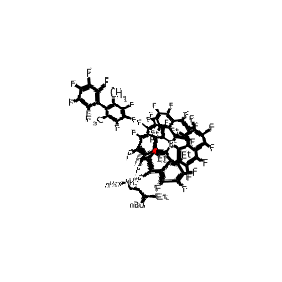 CCCCCC[NH2+]CCC(CC)CCCC.CCc1c(F)c(F)c(F)c2c(F)c(F)c(F)c([B-](c3c(F)c(F)c(F)c4c(F)c(F)c(F)c(CC)c34)(c3c(F)c(F)c(F)c4c(F)c(F)c(F)c(CC)c34)c3c(F)c(F)c(F)c4c(F)c(F)c(F)c(CC)c34)c12.Cc1c(F)c(F)c(F)c(C(F)(F)F)c1-c1c(F)c(F)c(F)c(F)c1F